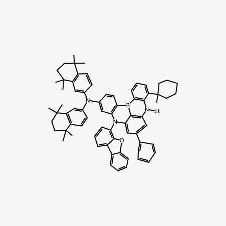 CCN1c2cc(-c3ccccc3)cc3c2B(c2ccc(N(c4ccc5c(c4)C(C)(C)CCC5(C)C)c4ccc5c(c4)C(C)(C)CCC5(C)C)cc2N3c2cccc3c2oc2ccccc23)c2cccc(C3(C)CCCCC3)c21